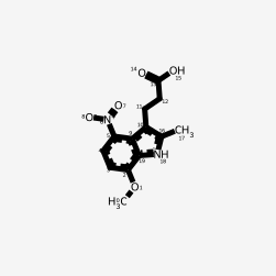 COc1ccc([N+](=O)[O-])c2c(CCC(=O)O)c(C)[nH]c12